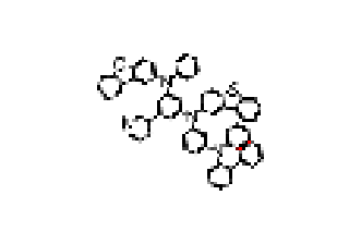 c1ccc(-c2ccccc2N(c2ccccc2)c2cccc(N(c3cc(-c4cccnc4)cc(N(c4ccccc4)c4ccc5oc6ccccc6c5c4)c3)c3ccc4sc5ccccc5c4c3)c2)cc1